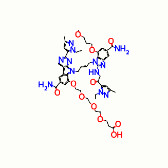 CCn1nc(C)cc1C(=O)CNc1nc2cc(C(N)=O)cc(OCCCOC)c2n1C/C=C/Cn1c2nc(-c3cc(C)nn3CC)ncc2c2cc(C(N)=O)cc(OCCOCCOCCOCCC(=O)O)c21